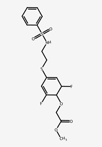 COC(=O)COC1C(F)=CC(SCCNS(=O)(=O)c2ccccc2)=CC1F